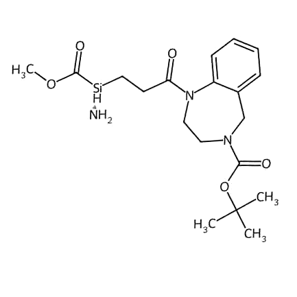 COC(=O)[Si@@H](N)CCC(=O)N1CCN(C(=O)OC(C)(C)C)Cc2ccccc21